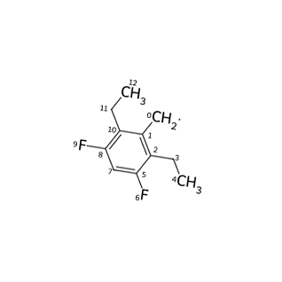 [CH2]c1c(CC)c(F)cc(F)c1CC